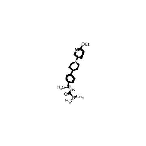 CCOc1ccc(N2CCC(c3ccc([C@H](C)NC(=O)N(C)C)cc3)CC2)cn1